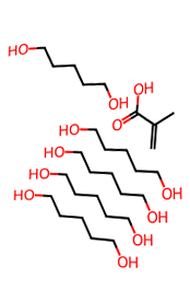 C=C(C)C(=O)O.OCCCCCO.OCCCCCO.OCCCCCO.OCCCCCO.OCCCCCO